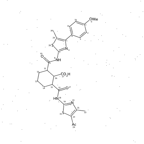 COc1ccc(-c2nc(NC(=O)C3CCCC(C(=O)Nc4nc(C)c(C(C)=O)s4)C3C(=O)O)sc2C)cc1